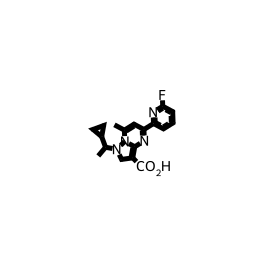 CC1=CC(c2cccc(F)n2)=NC2=C(C(=O)O)CN(C(C)C3CC3)N12